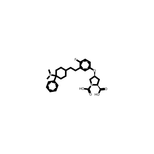 CN(C)C1(c2ccccc2)CCC(CCc2cc(O[C@H]3C[C@@H](C(=O)O)N(C(=O)O)C3)ccc2F)CC1